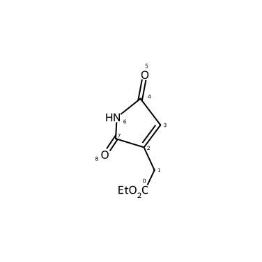 CCOC(=O)CC1=CC(=O)NC1=O